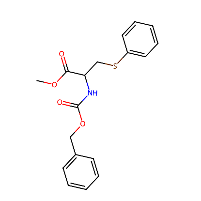 COC(=O)C(CSc1ccccc1)NC(=O)OCc1ccccc1